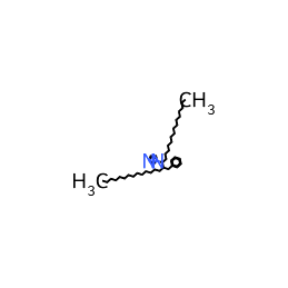 CCCCCCCCCCCCCCCC(C(CCCCCCCCCCCCCC)Cc1ccccc1)n1ccnc1